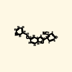 N#Cc1cnccc1-c1cc2cc(OCc3cccnc3)ccc2o1